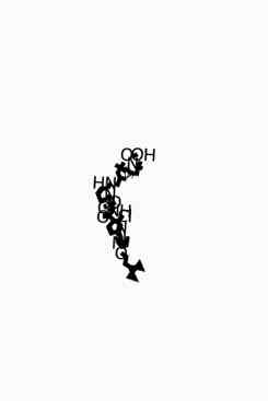 CC(C)(C)CC(CNc1cccc(S(=O)(=O)NC(=O)c2ccc(-n3ccc(OCCC4C5(CC5)C45CC5)n3)nc2Cl)n1)C[C@@H]1CN(C(=O)O)C(C)(C)C1